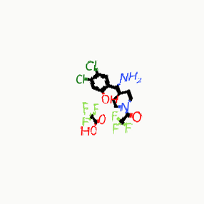 NC(c1cc(Cl)c(Cl)cc1O)C1CCN(C(=O)C(F)(F)F)CC1.O=C(O)C(F)(F)F